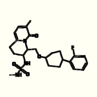 CNS(=O)(=O)NC1CCc2ccc(C)c(=O)n2C1COC1CCC(c2ccccc2F)CC1